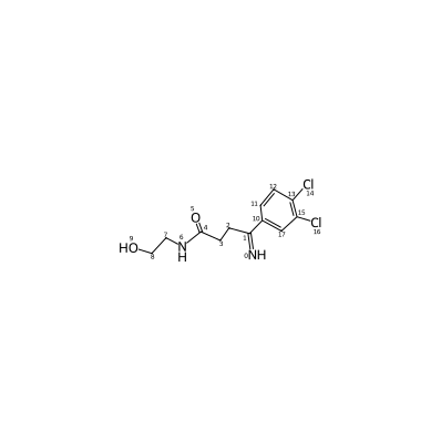 N=C(CCC(=O)NCCO)c1ccc(Cl)c(Cl)c1